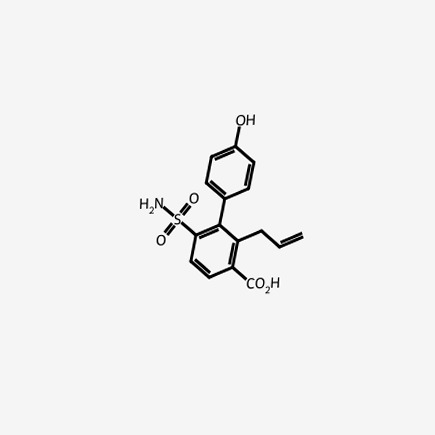 C=CCc1c(C(=O)O)ccc(S(N)(=O)=O)c1-c1ccc(O)cc1